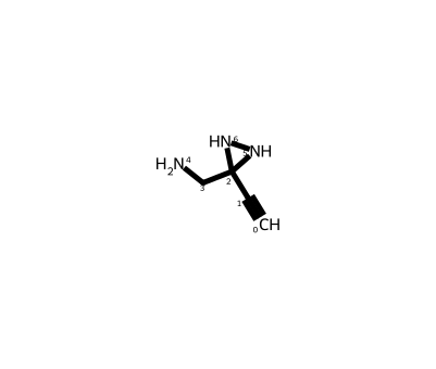 C#CC1(CN)NN1